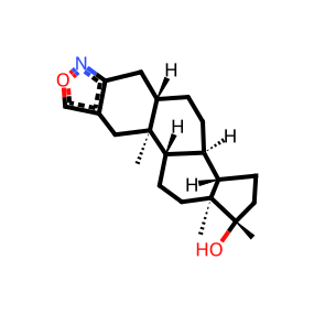 C[C@]12Cc3conc3C[C@@H]1CC[C@@H]1[C@@H]2CC[C@@]2(C)[C@H]1CC[C@]2(C)O